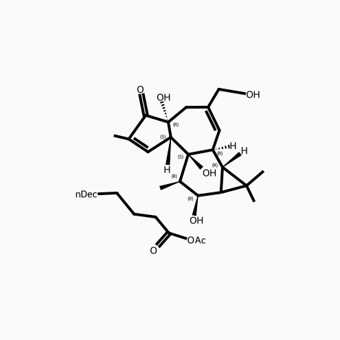 CC1=C[C@H]2[C@@]3(O)[C@H](C)[C@H](O)C4[C@H]([C@@H]3C=C(CO)C[C@]2(O)C1=O)C4(C)C.CCCCCCCCCCCCCC(=O)OC(C)=O